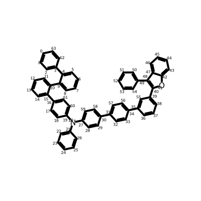 c1ccc(-c2ccccc2-c2ccccc2-c2ccc(N(c3ccccc3)c3ccc(-c4ccc(-c5cccc(-c6oc7ccccc7c6-c6ccccc6)c5)cc4)cc3)cc2)cc1